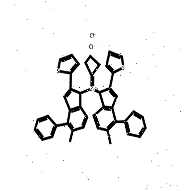 Cc1ccc2c(c1-c1ccccc1)C=C(c1cccs1)[CH]2[Zr+2](=[C]1CCC1)[CH]1C(c2cccs2)=Cc2c1ccc(C)c2-c1ccccc1.[Cl-].[Cl-]